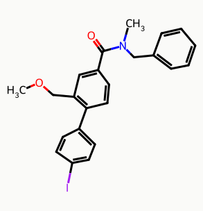 COCc1cc(C(=O)N(C)Cc2ccccc2)ccc1-c1ccc(I)cc1